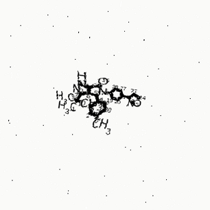 Cc1ccc(C2c3c(C(C)(C)C)n[nH]c3C(=O)N2c2ccc(-c3ccon3)cc2)cc1